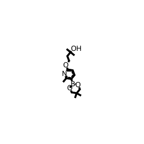 Cc1nc(OCCC(C)(C)O)ccc1B1OCC(C)(C)CO1